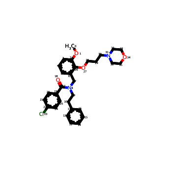 COc1cccc(CN(CCc2ccccc2)C(=O)c2ccc(Cl)cc2)c1OCCCN1CCOCC1